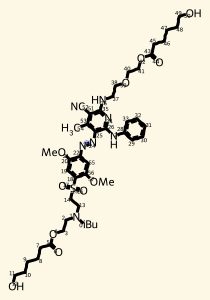 CCC(C)N(CCOC(=O)CCCCCO)CCS(=O)(=O)c1cc(OC)c(/N=N/c2c(Nc3ccccc3)nc(NCCOCCOC(=O)CCCCCO)c(C#N)c2C)cc1OC